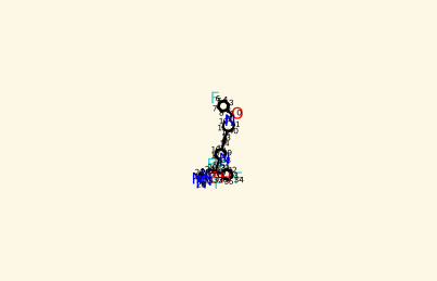 O=C(c1ccc(F)cc1)N1CCC(C#Cc2ccc(C(F)(F)C(O)(Cn3cnnn3)c3ccc(F)cc3F)nc2)CC1